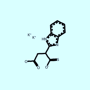 O=C([O-])CC(C([O-])=S)c1nc2ccccc2[nH]1.[K+].[K+]